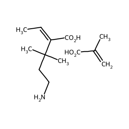 C=C(C)C(=O)O.CC=C(C(=O)O)C(C)(C)CCN